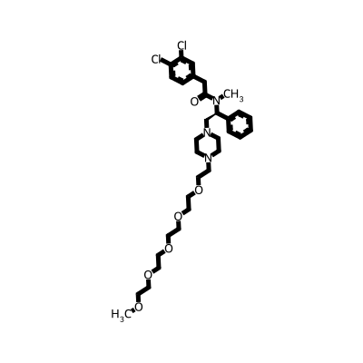 COCCOCCOCCOCCOCCN1CCN(C[C@H](c2ccccc2)N(C)C(=O)Cc2ccc(Cl)c(Cl)c2)CC1